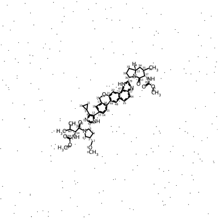 COC[C@H]1C[C@@H](c2nc(C3CC3)c(-c3ccc4c(c3)COc3cc5c(ccc6nc([C@@H]7CC[C@@H]8CC(C)[C@H](NC(=O)OC)C(=O)N87)[nH]c65)cc3-4)[nH]2)N(C(=O)[C@@H](NC(=O)OC)C(C)C)C1